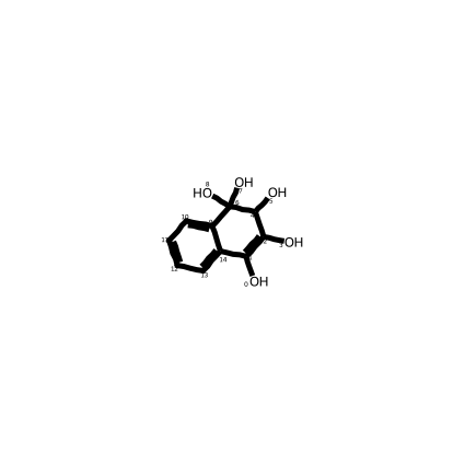 OC1=C(O)C(O)C(O)(O)c2ccccc21